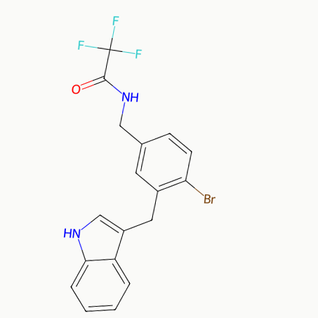 O=C(NCc1ccc(Br)c(Cc2c[nH]c3ccccc23)c1)C(F)(F)F